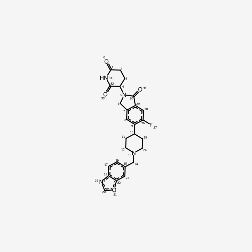 O=C1CCC(N2Cc3cc(C4CCN(Cc5ccc6ncoc6c5)CC4)c(F)cc3C2=O)C(=O)N1